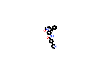 CC(=O)N1c2ccc(NC(=O)c3ccc(-c4cccnc4)cc3)cc2C(C)(c2ccccc2)CC1(C)C